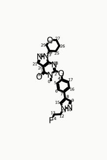 Cn1c(Oc2ccc(-c3cnn(CCF)c3)cc2)nc2c(cnn2[C@@H]2CCCOC2)c1=O